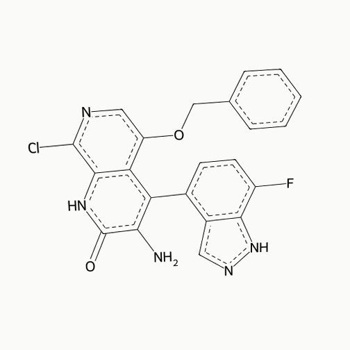 Nc1c(-c2ccc(F)c3[nH]ncc23)c2c(OCc3ccccc3)cnc(Cl)c2[nH]c1=O